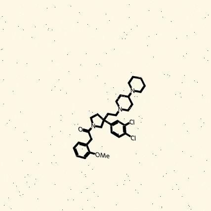 COc1ccccc1CC(=O)N1CCC(CCN2CCC(N3CCCCC3)CC2)(c2ccc(Cl)c(Cl)c2)C1